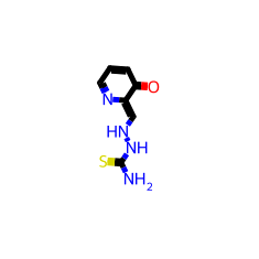 NC(=S)NN/C=C1\N=CC=CC1=O